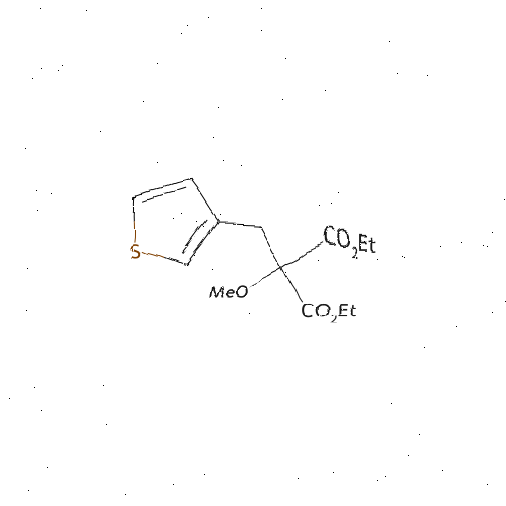 CCOC(=O)C(Cc1ccsc1)(OC)C(=O)OCC